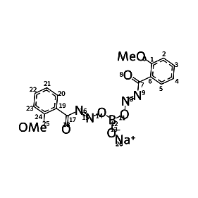 COc1ccccc1C(=O)N=NOB([O-])ON=NC(=O)c1ccccc1OC.[Na+]